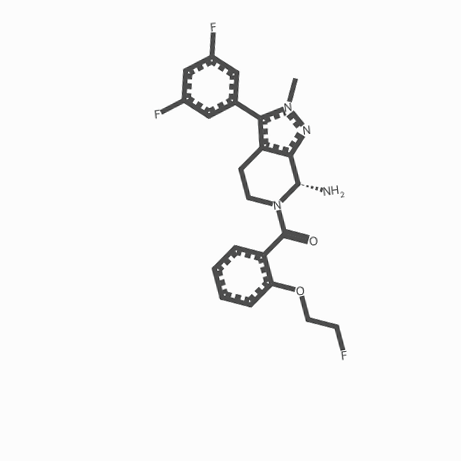 Cn1nc2c(c1-c1cc(F)cc(F)c1)CCN(C(=O)c1ccccc1OCCF)[C@H]2N